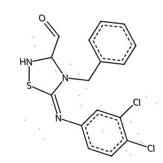 O=CC1NSC(=Nc2ccc(Cl)c(Cl)c2)N1Cc1ccccc1